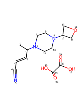 CC(C=CC#N)N1CCN(C2COC2)CC1.O=C(O)C(=O)O